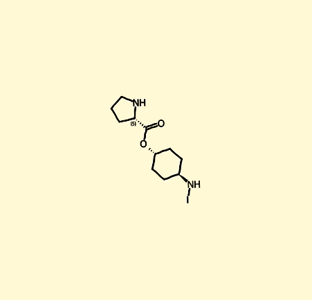 O=C(O[C@H]1CC[C@H](NI)CC1)[C@@H]1CCCN1